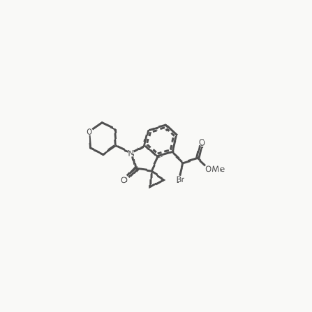 COC(=O)C(Br)c1cccc2c1C1(CC1)C(=O)N2C1CCOCC1